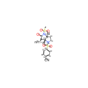 CCC[C@H]1C(=O)N(S(C)(=O)=O)[C@H]2CCN(S(=O)(=O)c3ccc(C#N)cc3)[C@H]12